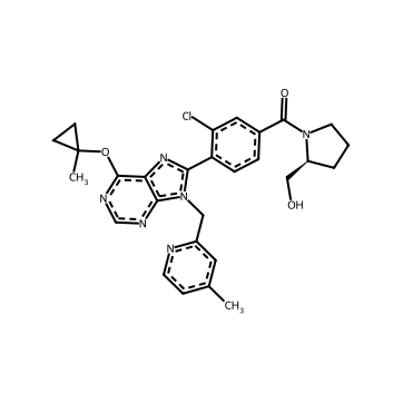 Cc1ccnc(Cn2c(-c3ccc(C(=O)N4CCC[C@H]4CO)cc3Cl)nc3c(OC4(C)CC4)ncnc32)c1